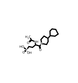 CC(=O)NC(CCP(=O)(O)O)C(=O)N1CCC(C2CCCCC2)CC1